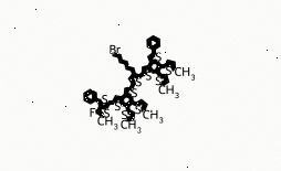 Cc1ccc(-c2c(-c3ccc(C)s3)c3sc(-c4sc(-c5cc6c(s5)c(-c5ccc(C)s5)c(-c5ccc(C)s5)c5sc(-c7sc(-c8ccccc8)c8c(F)c(C)sc78)cc56)cc4CCCCCCBr)cc3c3cc(-c4ccccc4)sc23)s1